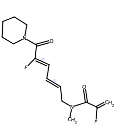 C=C(F)C(=O)N(C)C/C=C/C=C(\F)C(=O)N1CCCCC1